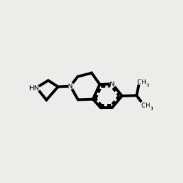 CC(C)c1ccc2c(n1)CCN(C1CNC1)C2